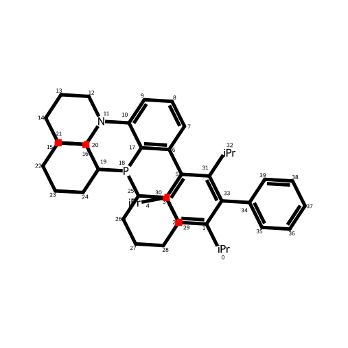 CC(C)c1cc(C(C)C)c(-c2cccc(N3CCCCC3)c2P(C2CCCCC2)C2CCCCC2)c(C(C)C)c1-c1ccccc1